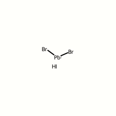 I.[Br][Pb][Br]